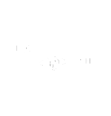 CCCCCCC1=CC2SC3=C(SSc4c3sc3cc(CCCCCC)ccc43)C2C=C1